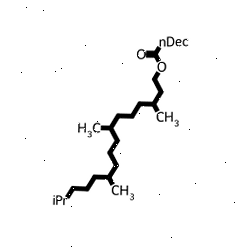 CCCCCCCCCCC(=O)OCCC(C)CCCC(C)CCCC(C)CCCC(C)C